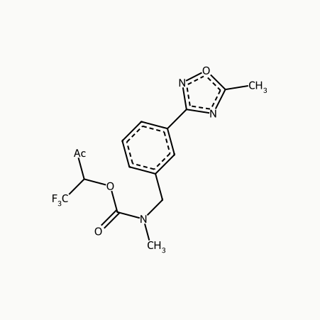 CC(=O)C(OC(=O)N(C)Cc1cccc(-c2noc(C)n2)c1)C(F)(F)F